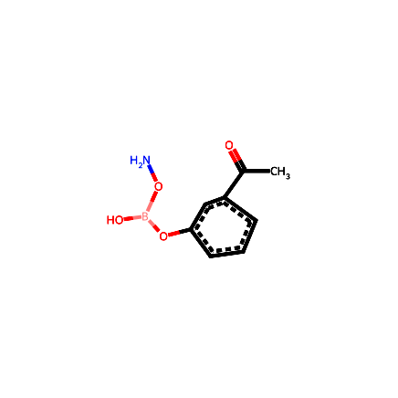 CC(=O)c1cccc(OB(O)ON)c1